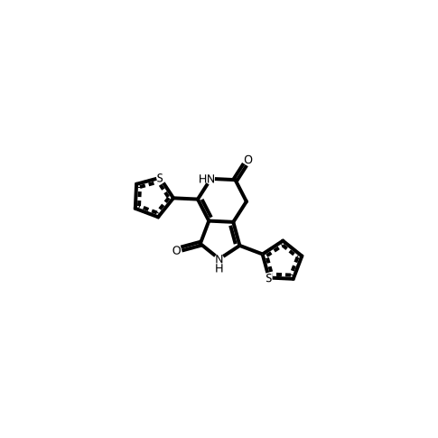 O=C1CC2=C(c3cccs3)NC(=O)C2=C(c2cccs2)N1